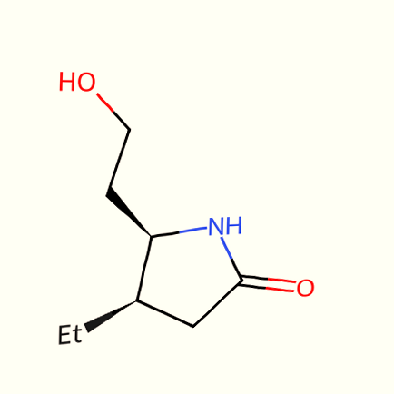 CC[C@@H]1CC(=O)N[C@@H]1CCO